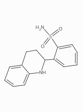 NS(=O)(=O)c1ccccc1C1CCc2ccccc2N1